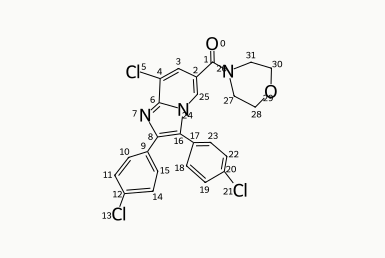 O=C(c1cc(Cl)c2nc(-c3ccc(Cl)cc3)c(-c3ccc(Cl)cc3)n2c1)N1CCOCC1